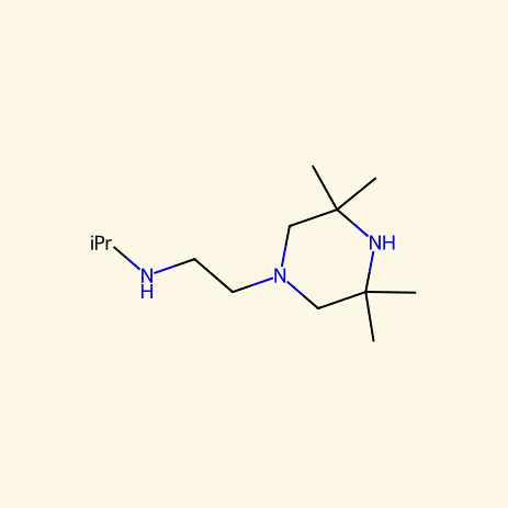 CC(C)NCCN1CC(C)(C)NC(C)(C)C1